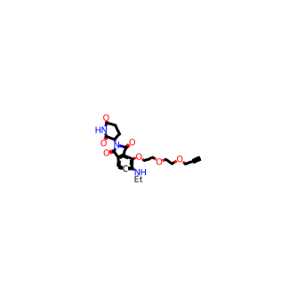 C#CCOCCOCCOc1c(NCC)ccc2c1C(=O)N(C1CCC(=O)NC1=O)C2=O